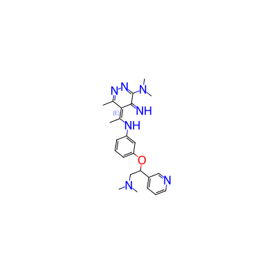 CC1=NN=C(N(C)C)C(=N)/C1=C(/C)Nc1cccc(OC(CN(C)C)c2cccnc2)c1